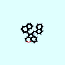 C(=C1\C(c2cccc3ccccc23)=C2CCOc3cccc1c32)/c1cccc2ccccc12